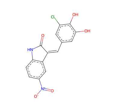 O=C1Nc2ccc([N+](=O)[O-])cc2C1=Cc1cc(O)c(O)c(Cl)c1